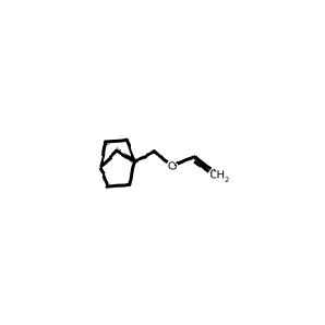 C=COCC12CCC(CC1)C2